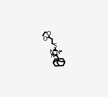 Cn1c(SCCC2OCCO2)nnc1C12CC3CC(CC(C3)C1)C2